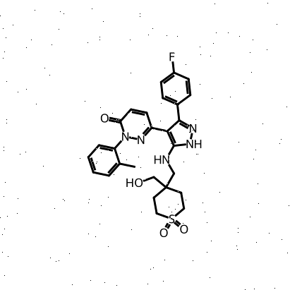 Cc1ccccc1-n1nc(-c2c(-c3ccc(F)cc3)n[nH]c2NCC2(CO)CCS(=O)(=O)CC2)ccc1=O